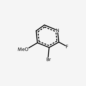 COc1ccnc(F)c1Br